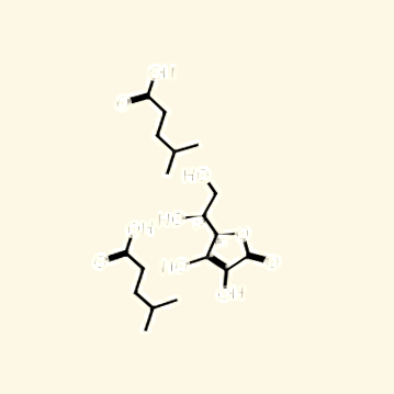 CC(C)CCC(=O)O.CC(C)CCC(=O)O.O=C1O[C@H]([C@@H](O)CO)C(O)=C1O